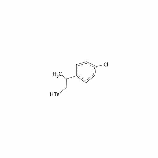 CC(C[TeH])c1ccc(Cl)cc1